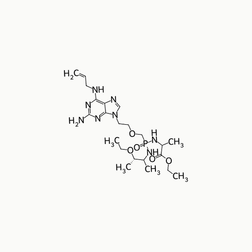 C=CCNc1nc(N)nc2c1ncn2CCOCP(=O)(NC(C)C(=O)OCC)NC(C)[C@H](C)OCC